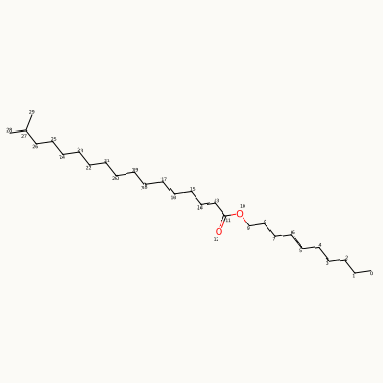 CCCCCCCCCCOC(=O)CCCCCCCCCCCCCCC(C)C